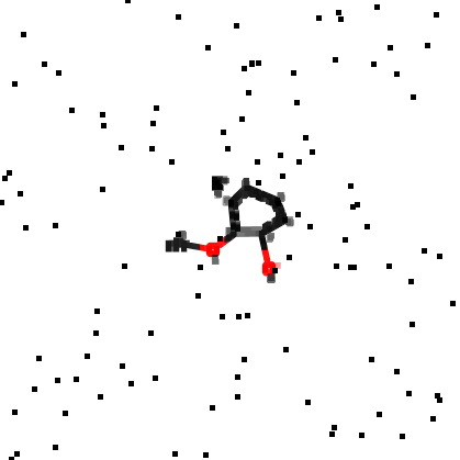 CCCOc1ccccc1[O-].[K+]